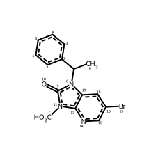 CC(c1ccccc1)n1c(=O)n(C(=O)O)c2ncc(Br)cc21